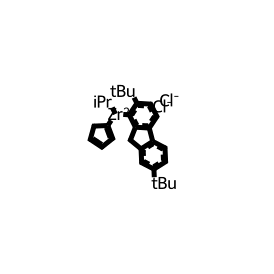 C[CH](C)[Zr+2]([C]1=CC=CC1)[c]1c(C(C)(C)C)ccc2c1Cc1cc(C(C)(C)C)ccc1-2.[Cl-].[Cl-]